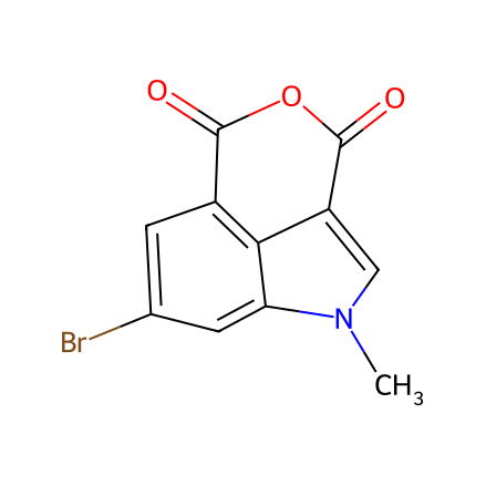 Cn1cc2c3c(cc(Br)cc31)C(=O)OC2=O